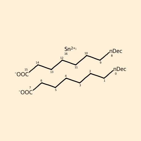 CCCCCCCCCCCCCCCCC(=O)[O-].CCCCCCCCCCCCCCCCC(=O)[O-].[Sn+2]